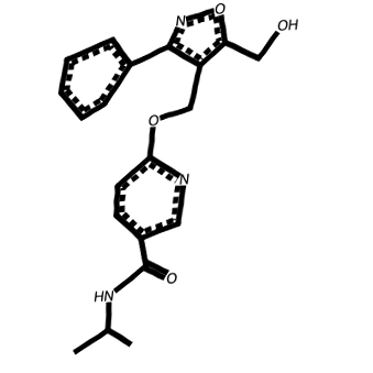 CC(C)NC(=O)c1ccc(OCc2c(-c3ccccc3)noc2CO)nc1